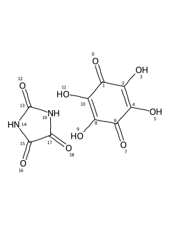 O=C1C(O)=C(O)C(=O)C(O)=C1O.O=C1NC(=O)C(=O)N1